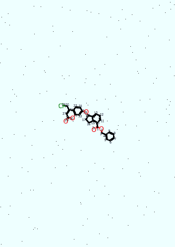 O=C(OCc1ccccc1)c1cccc2c1CC[C@H]2Oc1ccc2c(CCl)cc(=O)oc2c1